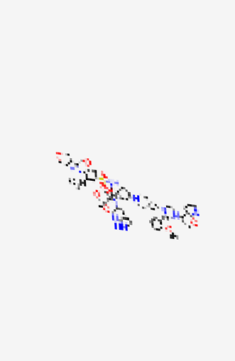 CC(C)Oc1ccccc1[C@@H]1CN([C@H]2CCOc3ncccc32)CCN1C1CC2(CCN(c3ccc(C(=O)NS(=O)(=O)c4cc5c(c([N+](=O)[O-])c4)N[C@H](C4CCOCC4)CO5)c(N4c5cc6cc[nH]c6nc5O[C@H]5COCC[C@@H]54)c3)CC2)C1